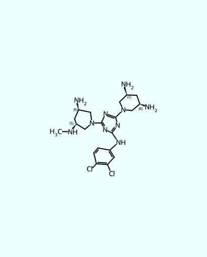 CN[C@H]1C[C@@H](N)CN(c2nc(Nc3ccc(Cl)c(Cl)c3)nc(N3C[C@H](N)C[C@H](N)C3)n2)C1